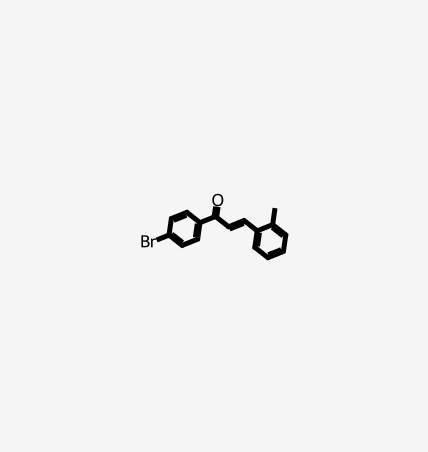 Cc1ccccc1C=CC(=O)c1ccc(Br)cc1